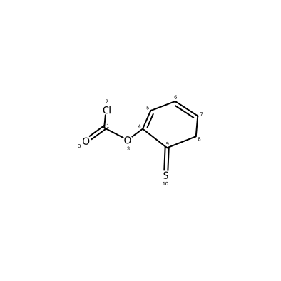 O=C(Cl)OC1=CC=CCC1=S